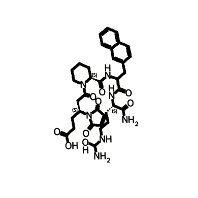 NC(=O)[C@H](CCCNC(N)O)NC(=O)C(Cc1ccc2ccccc2c1)NC(=O)[C@@H]1CCCCN1C(=O)C[C@H](CCC(=O)O)N1C(=O)C=CC1=O